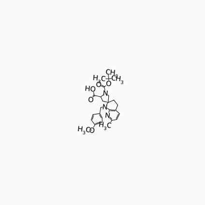 COc1ccc(CN2c3nc(C)ccc3CCC23CC(C(=O)O)N(C(=O)OC(C)(C)C)C3)cc1